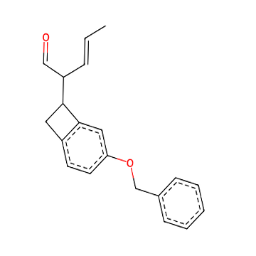 CC=CC(C=O)C1Cc2ccc(OCc3ccccc3)cc21